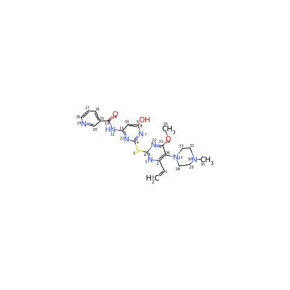 C=Cc1nc(Sc2nc(O)cc(NC(=O)c3cccnc3)n2)nc(OC)c1N1CCN(C)CC1